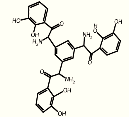 NC(C(=O)c1cccc(O)c1O)c1cc(C(N)C(=O)c2cccc(O)c2O)cc(C(N)C(=O)c2cccc(O)c2O)c1